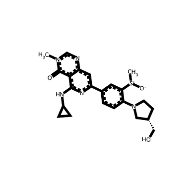 Cn1cnc2cc(-c3ccc(N4CC[C@H](CO)C4)c([S+](C)[O-])c3)nc(NC3CC3)c2c1=O